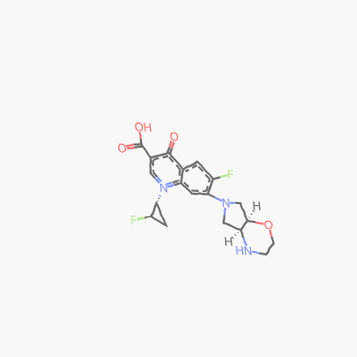 O=C(O)c1cn([C@@H]2C[C@H]2F)c2cc(N3C[C@@H]4NCCO[C@@H]4C3)c(F)cc2c1=O